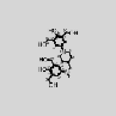 CN(CC1CCN(c2cc(CO)c(O)c(CO)c2)CC1)c1cc(CO)c(O)c(CO)c1